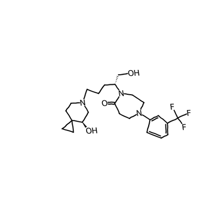 O=C1CCN(c2cccc(C(F)(F)F)c2)CCN1[C@@H](CO)CCCN1CCC2(CC2)[C@H](O)C1